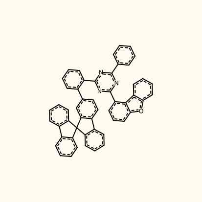 c1ccc(-c2nc(-c3ccccc3-c3ccc4c(c3)C3(c5ccccc5-c5ccccc53)c3ccccc3-4)nc(-c3cccc4oc5ccccc5c34)n2)cc1